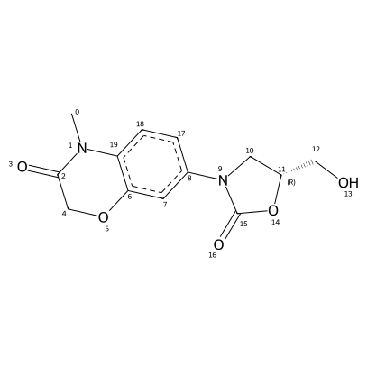 CN1C(=O)COc2cc(N3C[C@H](CO)OC3=O)ccc21